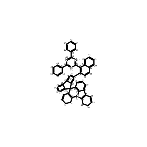 C1=CC2=C(CC1)n1c3c(c4cccc(c41)C21c2ccccc2-c2ccc(-c4ccc5ccccc5c4-c4nc(-c5ccccc5)nc(-c5ccccc5)n4)cc21)C=CCC3